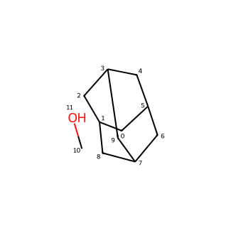 C1C2CC3CC1CC(C2)C3.CO